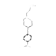 COCCN1CCC(c2ccc(B(O)O)cc2)CC1